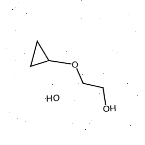 OCCOC1CC1.[OH]